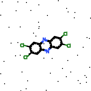 Clc1cc2nc3cc(Cl)c(Cl)cc3nc2cc1Cl